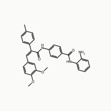 COc1ccc(C=C(C(=O)Nc2ccc(C(=O)Nc3ccccc3N)cc2)c2ccc(C)cc2)cc1OC